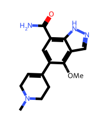 COc1c(C2=CCN(C)CC2)cc(C(N)=O)c2[nH]ncc12